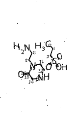 CCCS(=O)(=O)O.NCCN1CCNCC1=O